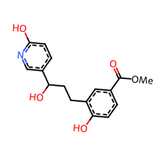 COC(=O)c1ccc(O)c(CCC(O)c2ccc(O)nc2)c1